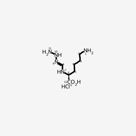 Cl.NCCCC[C@H](NC=NNN)C(=O)O